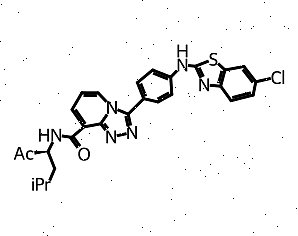 CC(=O)[C@H](CC(C)C)NC(=O)c1cccn2c(-c3ccc(Nc4nc5ccc(Cl)cc5s4)cc3)nnc12